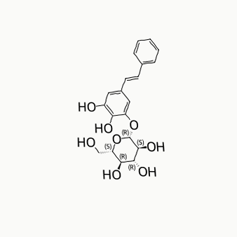 OC[C@@H]1O[C@H](Oc2cc(C=Cc3ccccc3)cc(O)c2O)[C@@H](O)[C@H](O)[C@H]1O